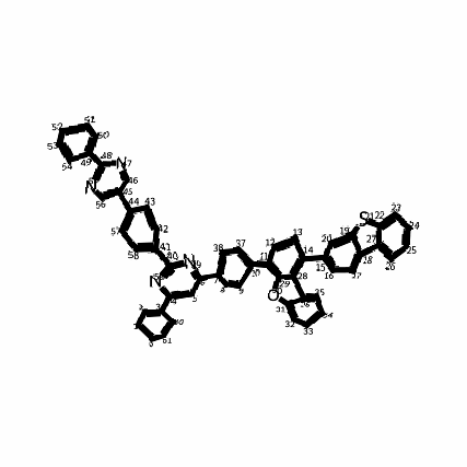 c1ccc(-c2cc(-c3ccc(-c4ccc(-c5ccc6c(c5)sc5ccccc56)c5c4oc4ccccc45)cc3)nc(-c3ccc(-c4cnc(-c5ccccc5)nc4)cc3)n2)cc1